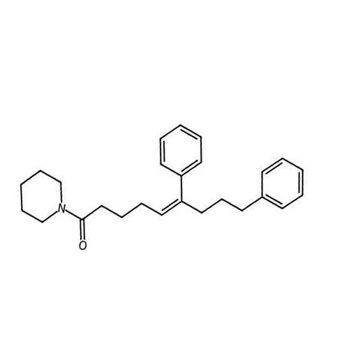 O=C(CCCC=C(CCCc1ccccc1)c1ccccc1)N1CCCCC1